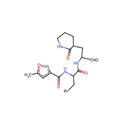 Cc1cc(C(=O)NC(CC(C)C)C(=O)NC(C=O)CC2CCCNC2=O)no1